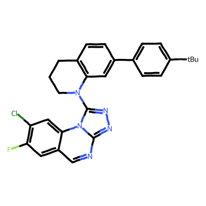 CC(C)(C)c1ccc(-c2ccc3c(c2)N(c2nnc4ncc5cc(F)c(Cl)cc5n24)CCC3)cc1